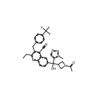 CCc1nc2ccc(C(O)(c3cnnn3C)C3CN(C(C)=O)C3)cc2c(C#N)c1Cc1ccc(C(C)(F)F)cc1